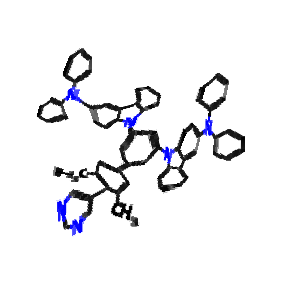 Cc1cc(-c2cc(-n3c4ccccc4c4cc(N(c5ccccc5)c5ccccc5)ccc43)cc(-n3c4ccccc4c4cc(N(c5ccccc5)c5ccccc5)ccc43)c2)cc(C)c1-c1cncnc1